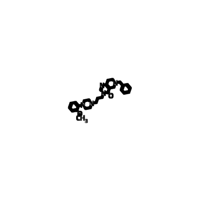 COc1ccccc1N1CCN(CCCn2cnc3c(c2=O)CN(Cc2ccccc2)CC3)CC1